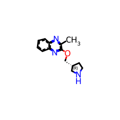 Cc1nc2ccccc2nc1OC[C@@H]1CCNC1